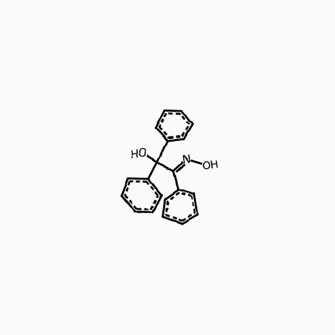 ON=C(c1ccccc1)C(O)(c1ccccc1)c1ccccc1